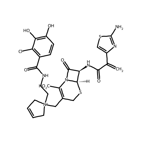 C=C(C(=O)N[C@@H]1C(=O)N2C(C(=O)O)=C(C[N+]3(CCNC(=O)c4ccc(O)c(O)c4Cl)CC=CC3)CS[C@H]12)c1csc(N)n1